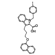 Cc1ccc(Cn2c(C(=O)O)c(CCCOc3cccc4ccccc34)c3ccccc32)cc1